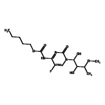 CCCCCOC(=O)Nc1nc(=O)n(C(O)C(O)C(C)OC)cc1F